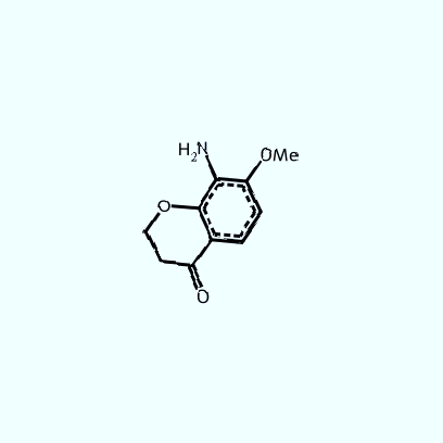 COc1ccc2c(c1N)OCCC2=O